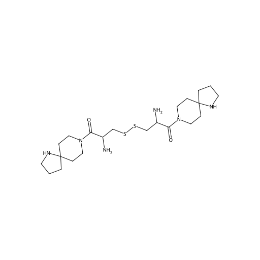 NC(CSSCC(N)C(=O)N1CCC2(CCCN2)CC1)C(=O)N1CCC2(CCCN2)CC1